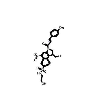 COc1ccc(/C=C/C(=O)N2CC(CCl)c3c2cc([N+](=O)[O-])c2cc(S(=O)(=O)NCCO)ccc32)cc1